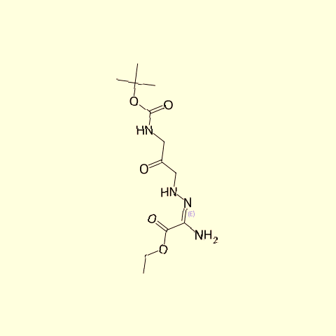 CCOC(=O)/C(N)=N\NCC(=O)CNC(=O)OC(C)(C)C